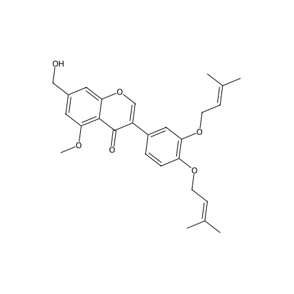 COc1cc(CO)cc2occ(-c3ccc(OCC=C(C)C)c(OCC=C(C)C)c3)c(=O)c12